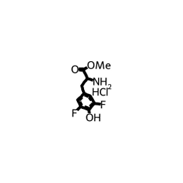 COC(=O)C(N)Cc1cc(F)c(O)c(F)c1.Cl